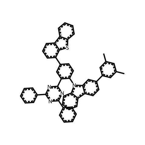 Cc1cc(C)cc(-c2ccc3c4ccccc4n(-c4ccc(-c5cccc6c5sc5ccccc56)cc4-c4nc(-c5ccccc5)nc(-c5ccccc5)n4)c3c2)c1